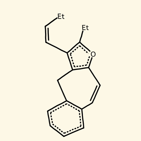 CC/C=C\c1c(CC)oc2c1Cc1ccccc1C=C2